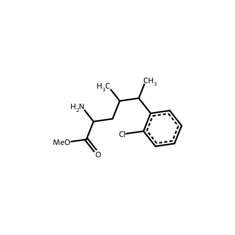 COC(=O)C(N)CC(C)C(C)c1ccccc1Cl